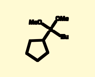 CCC(C)[Si](OC)(OC)C1CCCC1